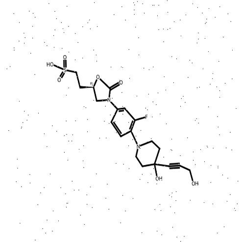 O=C1O[C@H](CCS(=O)(=O)O)CN1c1ccc(N2CCC(O)(C#CCO)CC2)c(F)c1